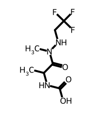 CC(NC(=O)O)C(=O)N(C)NCC(F)(F)F